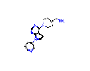 NCC1CCN(c2ncnc3c2ccn3-c2cccnc2)CC1